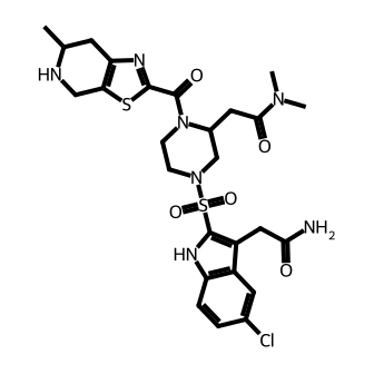 CC1Cc2nc(C(=O)N3CCN(S(=O)(=O)c4[nH]c5ccc(Cl)cc5c4CC(N)=O)CC3CC(=O)N(C)C)sc2CN1